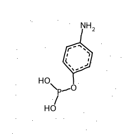 Nc1ccc(OP(O)O)cc1